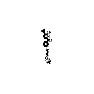 COc1nc(C(=O)c2cccc(OCCCCO[Si](C)(C)C(C)(C)C)c2)ccc1C1CC1